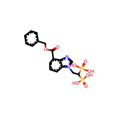 O=C(OCc1ccccc1)c1cccc2c1ncn2CC(P(=O)(O)O)P(=O)(O)O